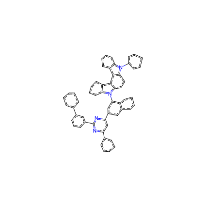 c1ccc(-c2cccc(-c3nc(-c4ccccc4)cc(-c4cc(-n5c6ccccc6c6c7c8ccccc8n(-c8ccccc8)c7ccc65)c5ccccc5c4)n3)c2)cc1